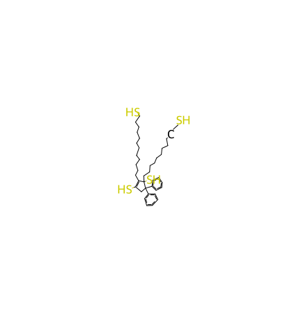 SCCCCCCCCCCCCC1=C(S)CC(c2ccccc2)(c2ccccc2)C1(S)CCCCCCCCCCCCS